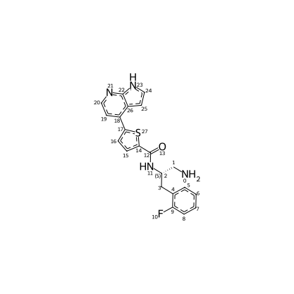 NC[C@H](Cc1ccccc1F)NC(=O)c1ccc(-c2ccnc3[nH]ccc23)s1